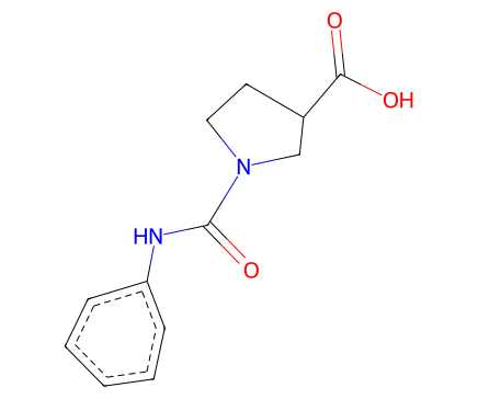 O=C(O)C1CCN(C(=O)Nc2ccccc2)C1